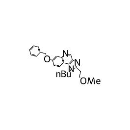 [CH2]CCCn1c(CCOC)nc2cnc3cc(OCc4ccccc4)ccc3c21